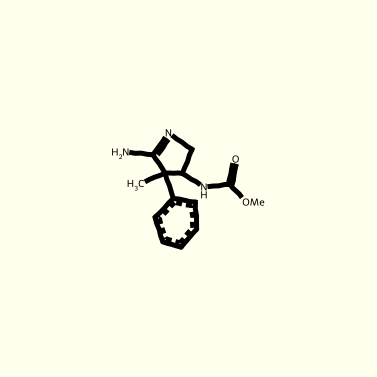 COC(=O)NC1CN=C(N)C1(C)c1ccccc1